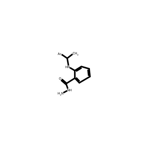 CC(=O)C(C)Nc1ccccc1C(=O)NN